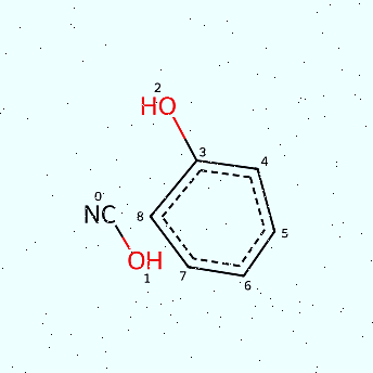 N#CO.Oc1ccccc1